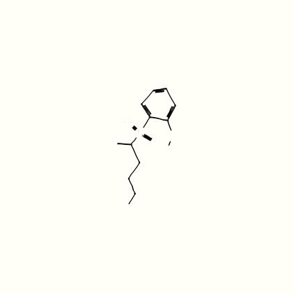 CCCCC(C)S(=O)(=O)c1ccccc1OC